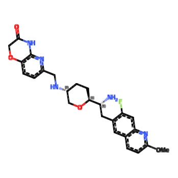 COc1ccc2cc(C[C@@H](N)[C@@H]3CC[C@@H](NCc4ccc5c(n4)NC(=O)CO5)CO3)c(F)cc2n1